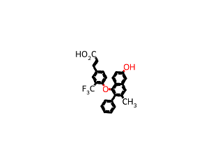 Cc1cc2cc(O)ccc2c(Oc2ccc(/C=C/C(=O)O)cc2C(F)(F)F)c1-c1ccccc1